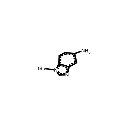 CC(C)(C)n1cnc2cc(N)ccc21